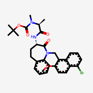 COc1ccc2c(Br)cccc2c1CN1C(=O)[C@@H](NC(=O)[C@H](C)N(C)C(=O)OC(C)(C)C)CCc2ccccc21